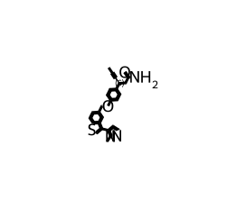 CC#C[C@@H](CC(N)=O)c1ccc(OCc2ccc3scc(-c4ccnn4C)c3c2)cc1